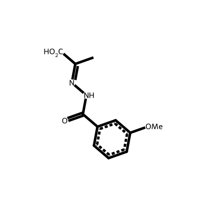 COc1cccc(C(=O)NN=C(C)C(=O)O)c1